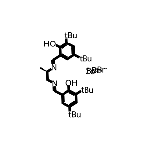 C[C@H](CN=Cc1cc(C(C)(C)C)cc(C(C)(C)C)c1O)N=Cc1cc(C(C)(C)C)cc(C(C)(C)C)c1O.[Br-].[Br-].[Br-].[Co+3]